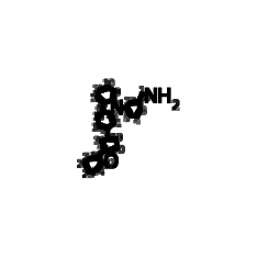 NCc1cccc(-n2c3ccccc3c3ccc(-c4ccc5oc6ccccc6c5c4)cc32)c1